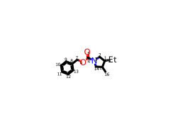 CCC1CN(C(=O)OCc2ccccc2)CC1C